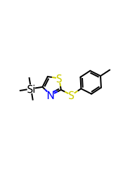 Cc1ccc(Sc2nc([Si](C)(C)C)cs2)cc1